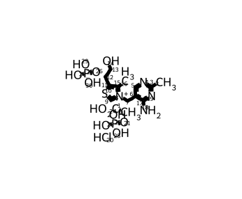 CC(=O)O.Cc1ncc(C[n+]2csc(CCO)c2C)c(N)n1.Cl.O=P(O)(O)O.O=P(O)(O)O